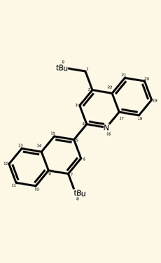 CC(C)(C)Cc1cc(-c2cc(C(C)(C)C)c3ccccc3c2)nc2ccccc12